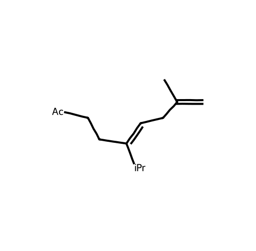 C=C(C)CC=C(CCC(C)=O)C(C)C